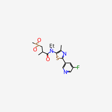 CCN(C(=O)C(C)CS(C)(=O)=O)c1sc(-c2cncc(F)c2)nc1C